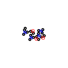 c1ccc(-n2c3ccccc3c3cc(-c4cccc5oc6ccc(-n7c8ccccc8c8cc(-c9ccc%10c(c9)c9c(-c%11cccc%12oc%13ccc(-c%14ccc%15c(c%14)c%14c%16ccccc%16ccc%14n%15-c%14ccccc%14)cc%13c%11%12)cccc9n%10-c9ccccc9)c9oc%10ccccc%10c9c87)cc6c45)ccc32)cc1